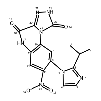 CC(C)c1nccn1-c1cc2c(cc1[N+](=O)[O-])[nH]c(=O)c1n[nH]c(=O)n12